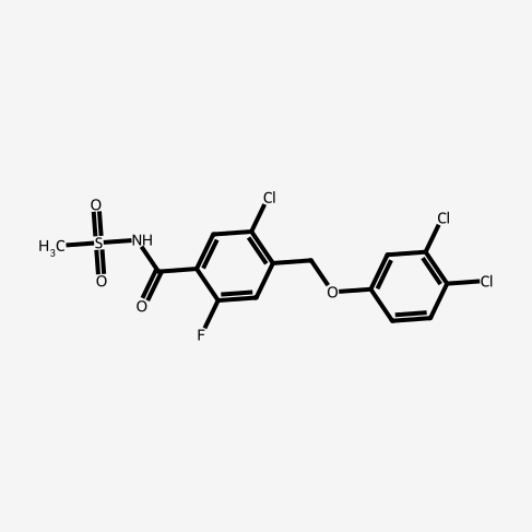 CS(=O)(=O)NC(=O)c1cc(Cl)c(COc2ccc(Cl)c(Cl)c2)cc1F